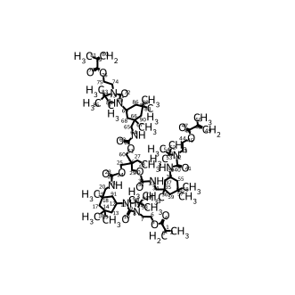 C=C(C)C(=O)OCCN(C(=O)NC1CC(C)(C)CC(C)(CNC(=O)OCC(CC)(COC(=O)NCC2(C)CC(NC(=O)N(CCOC(=O)C(=C)C)C(C)(C)C)CC(C)(C)C2)COC(=O)NCC2(C)CC(NC(=O)N(CCOC(=O)C(=C)C)C(C)(C)C)CC(C)(C)C2)C1)C(C)(C)C